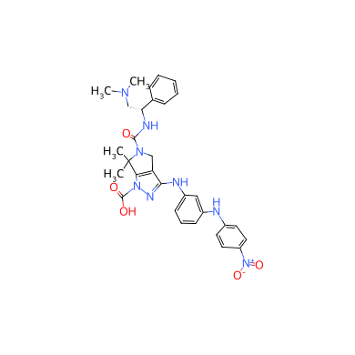 CN(C)C[C@@H](NC(=O)N1Cc2c(Nc3cccc(Nc4ccc([N+](=O)[O-])cc4)c3)nn(C(=O)O)c2C1(C)C)c1ccccc1